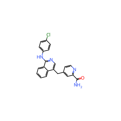 NC(=O)c1cc(Cc2cnc(Nc3ccc(Cl)cc3)c3ccccc23)ccn1